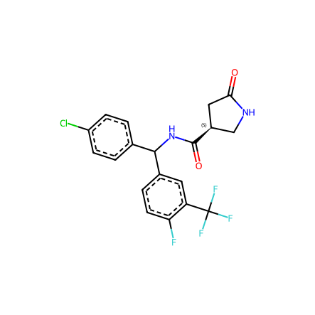 O=C1C[C@H](C(=O)NC(c2ccc(Cl)cc2)c2ccc(F)c(C(F)(F)F)c2)CN1